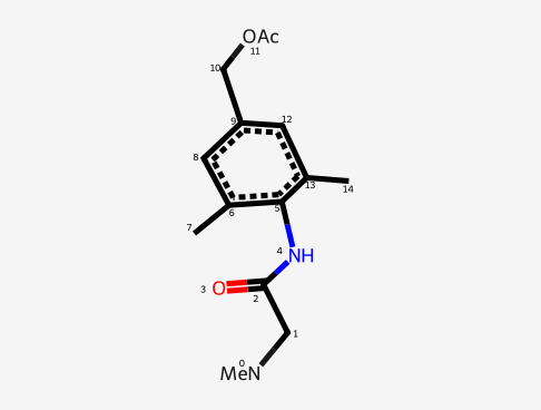 CNCC(=O)Nc1c(C)cc(COC(C)=O)cc1C